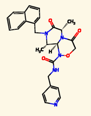 C[C@H]1[C@@H]2N(C(=O)NCc3ccncc3)OCC(=O)N2[C@@H](C)C(=O)N1Cc1cccc2ccccc12